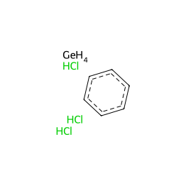 Cl.Cl.Cl.[GeH4].c1ccccc1